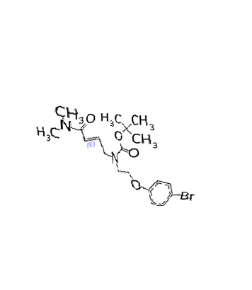 CN(C)C(=O)/C=C/CN(CCOc1ccc(Br)cc1)C(=O)OC(C)(C)C